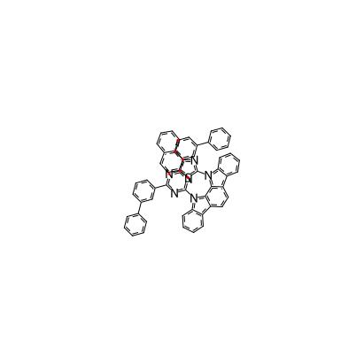 c1ccc(-c2cccc(-c3nc(-c4cccc(-c5ccccc5)c4)nc(-n4c5ccccc5c5ccc6c7ccccc7n(-c7nc8c(ccc9ccccc98)s7)c6c54)n3)c2)cc1